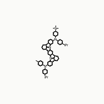 Cc1ccc(N(c2ccc(C(C)C)cc2)c2ccc3c4cccc5c6cc7c(cc6n(c3c2)c45)c2cccc3c4ccc(N(c5ccc(C(C)C)cc5)c5ccc([Si](C)(C)C)cc5)cc4n7c32)cc1